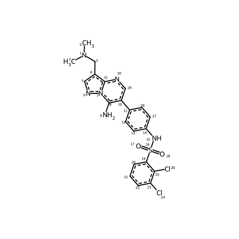 CN(C)Cc1cnn2c(N)c(-c3ccc(NS(=O)(=O)c4cccc(Cl)c4Cl)cc3)cnc12